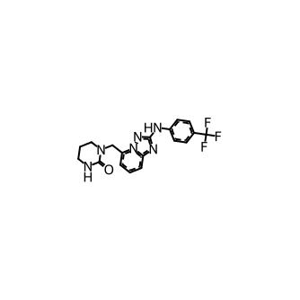 O=C1NCCCN1Cc1cccc2nc(Nc3ccc(C(F)(F)F)cc3)nn12